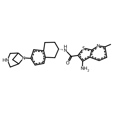 Cc1ccc2c(N)c(C(=O)N[C@H]3CCc4cc(N5C6CNCC5C6)ccc4C3)sc2n1